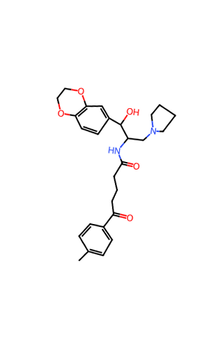 Cc1ccc(C(=O)CCCC(=O)NC(CN2CCCC2)C(O)c2ccc3c(c2)OCCO3)cc1